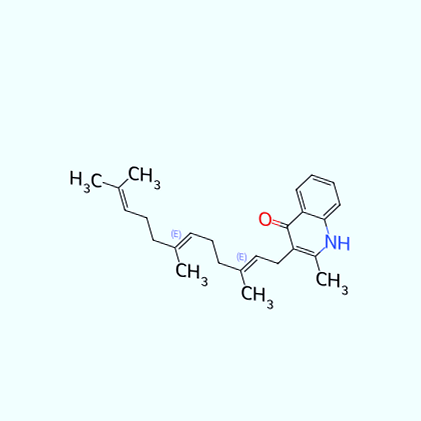 CC(C)=CCC/C(C)=C/CC/C(C)=C/Cc1c(C)[nH]c2ccccc2c1=O